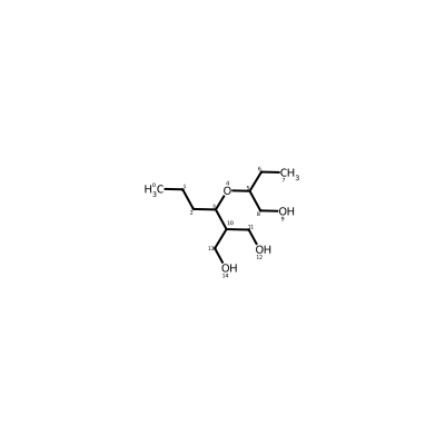 CCCC(OC(CC)CO)C(CO)CO